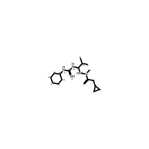 C=C(CC1CC1)N(C)NC(NC(=N)NC1CCCCC1)C(C)C